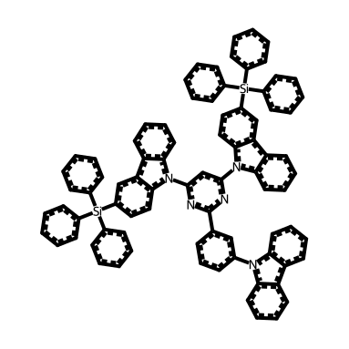 c1ccc([Si](c2ccccc2)(c2ccccc2)c2ccc3c(c2)c2ccccc2n3-c2cc(-n3c4ccccc4c4cc([Si](c5ccccc5)(c5ccccc5)c5ccccc5)ccc43)nc(-c3cccc(-n4c5ccccc5c5ccccc54)c3)n2)cc1